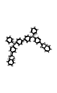 C1=CC2N=C(c3ccc(N(c4ccccc4)c4ccc(-c5ccc(N(c6ccccc6)c6ccc(-c7nc8ccccc8s7)cc6)cc5)cc4)cc3)SC2C=C1